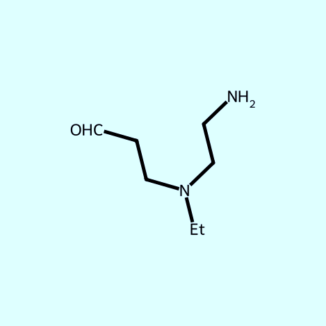 CCN(CCN)CCC=O